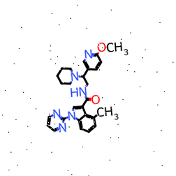 COc1ccc(C(CNC(=O)c2cn(-c3ncccn3)c3cccc(C)c23)N2CCCCC2)cn1